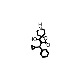 O=C1OC2(CCNCC2)C(O)=C1C(c1ccccc1)C1CC1